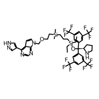 CC[Si](CC)(CCC[Si](C)(C)CCOCn1ccc2c(-c3cn[nH]c3)ncnc21)OC(c1cc(C(F)(F)F)cc(C(F)(F)F)c1)(c1cc(C(F)(F)F)cc(C(F)(F)F)c1)[C@H]1CCCN1